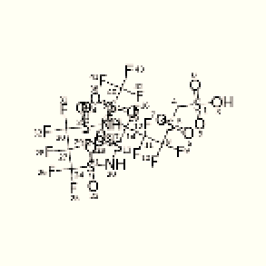 O=S(=O)(O)CS(=O)(=O)C(F)(F)C(F)(F)C(F)(F)S(=O)(=O)NS(=O)(=O)C(F)(F)C(F)(F)C(F)(F)S(=O)(=O)NS(=O)(=O)C(F)(F)F